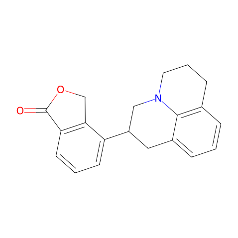 O=C1OCc2c1cccc2C1Cc2cccc3c2N(CCC3)C1